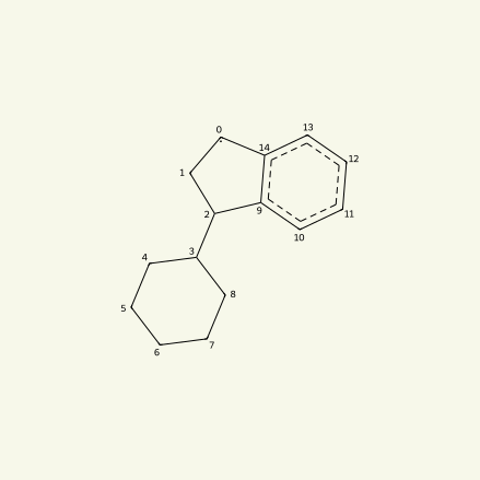 [CH]1CC(C2CCCCC2)c2ccccc21